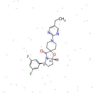 CCc1cnc(N2CCC3(CC2)O[C@@H]2CC[C@@H](c4cc(F)cc(F)c4)N2C3=O)nc1